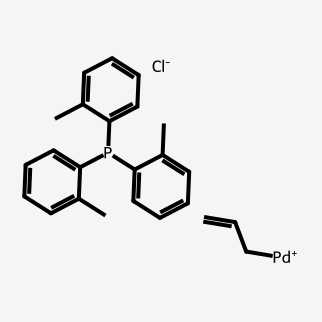 C=C[CH2][Pd+].Cc1ccccc1P(c1ccccc1C)c1ccccc1C.[Cl-]